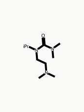 CC(C)N(CCN(C)C)C(=O)N(C)C